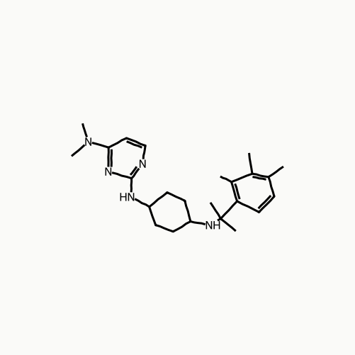 Cc1ccc(C(C)(C)NC2CCC(Nc3nccc(N(C)C)n3)CC2)c(C)c1C